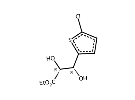 CCOC(=O)[C@H](O)[C@@H](O)c1ccc(Cl)s1